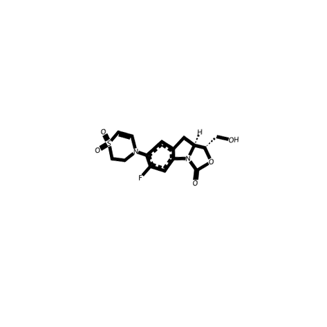 O=C1O[C@@H](CO)[C@@H]2Cc3cc(N4C=CS(=O)(=O)CC4)c(F)cc3N12